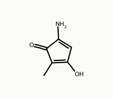 CC1=C(O)C=C(N)C1=O